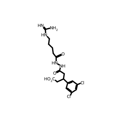 N=C(N)NCCCCC(=O)NNC(=O)CC(CC(=O)O)c1cc(Cl)cc(Cl)c1